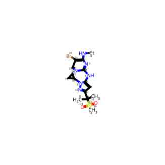 CCNc1nc(Nc2cc(C(C)(C)S(C)(=O)=O)nn2C2CC2)ncc1Br